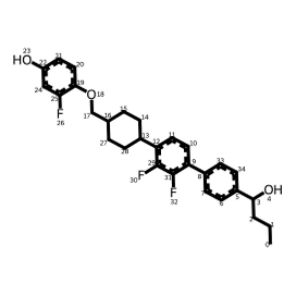 CCCC(O)c1ccc(-c2ccc(C3CCC(COc4ccc(O)cc4F)CC3)c(F)c2F)cc1